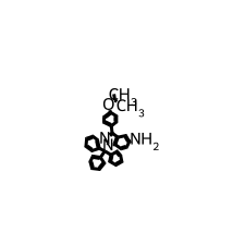 CC(C)Oc1ccc(-c2nn(C(c3ccccc3)(c3ccccc3)c3ccccc3)c3ccc(N)cc23)cc1